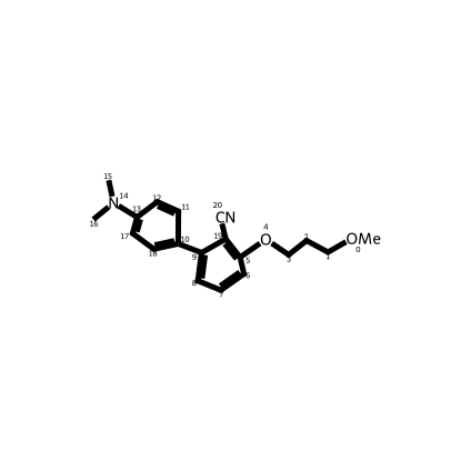 COCCCOc1cccc(-c2ccc(N(C)C)cc2)c1C#N